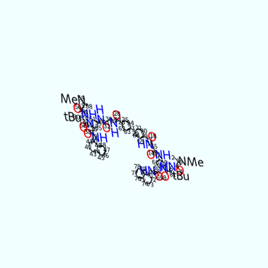 CN[C@@H](C)C(=O)N[C@H](C(=O)N1C[C@@H](NC(=O)CNC(=O)c2ccc(-c3ccc(C(=O)NCC(=O)N[C@H]4C[C@@H](C(=O)N[C@@H]5CCCc6ccccc65)N(C(=O)[C@@H](NC(=O)[C@H](C)NC)C(C)(C)C)C4)cc3)cc2)C[C@H]1C(=O)N[C@@H]1CCCc2ccccc21)C(C)(C)C